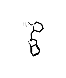 PN1CCCCC1CC1=Nc2ccccc2C1